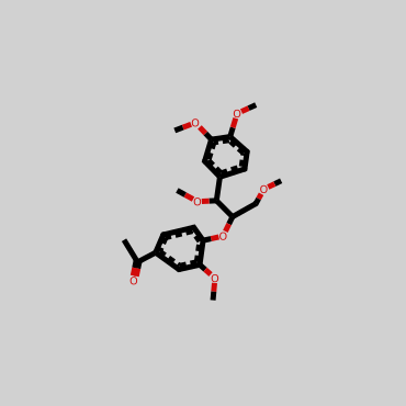 COCC(Oc1ccc(C(C)=O)cc1OC)C(OC)c1ccc(OC)c(OC)c1